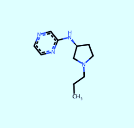 CCCN1CC[C@H](Nc2cnccn2)C1